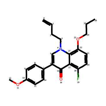 C=CCCn1cc(-c2ccc(OC)cc2)c(=O)c2c(F)ccc(OCCC)c21